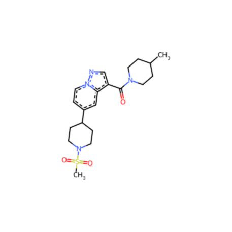 CC1CCN(C(=O)c2cnn3ccc(C4CCN(S(C)(=O)=O)CC4)cc23)CC1